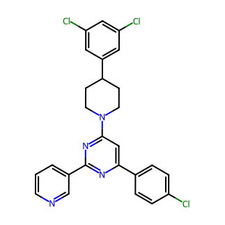 Clc1ccc(-c2cc(N3CCC(c4cc(Cl)cc(Cl)c4)CC3)nc(-c3cccnc3)n2)cc1